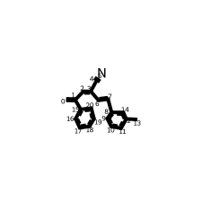 C=C(/C=C(C#N)\C=C\c1cccc(C)c1)c1ccccc1